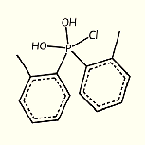 Cc1ccccc1P(O)(O)(Cl)c1ccccc1C